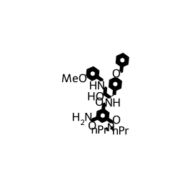 CCCN(CCC)C(=O)c1cc(C(N)=O)cc(C(=O)N[C@@H](Cc2ccc(OCc3ccccc3)cc2)[C@H](O)CNCc2cccc(OC)c2)c1